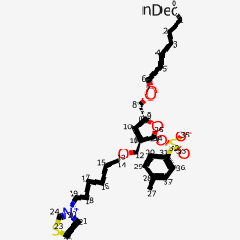 CCCCCCCCCCCCCCCCOC[C@H]1C[C@H](COCCCCCC[n+]2ccsc2)CO1.Cc1ccc(S(=O)(=O)[O-])cc1